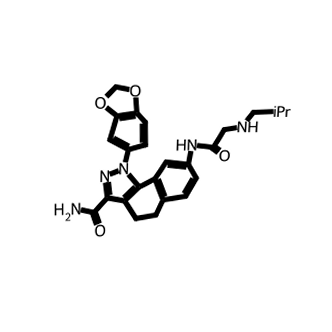 CC(C)CNCC(=O)Nc1ccc2c(c1)-c1c(c(C(N)=O)nn1-c1ccc3c(c1)OCO3)CC2